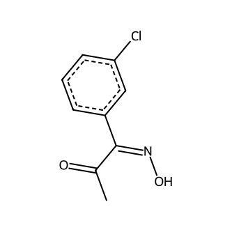 CC(=O)C(=NO)c1cccc(Cl)c1